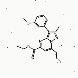 CCCc1cc(C(=O)OCC)nc2c(-c3cccc(OC)c3)c(C)nn12